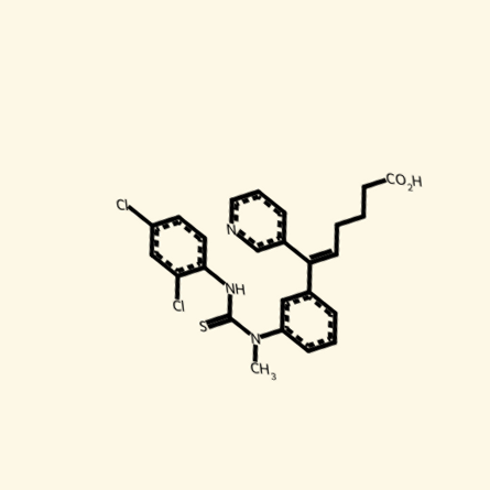 CN(C(=S)Nc1ccc(Cl)cc1Cl)c1cccc(C(=CCCCC(=O)O)c2cccnc2)c1